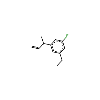 C=C[C](C)c1cc(F)cc(CC)c1